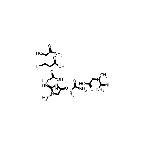 CC(=O)O.CC(N)=O.CCCC(=O)O.CN(CC(=O)O)C(=N)N.CN1CC(=O)NC1=N.NC(=O)CO